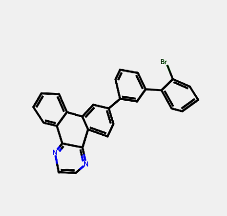 Brc1ccccc1-c1cccc(-c2ccc3c(c2)c2ccccc2c2nccnc32)c1